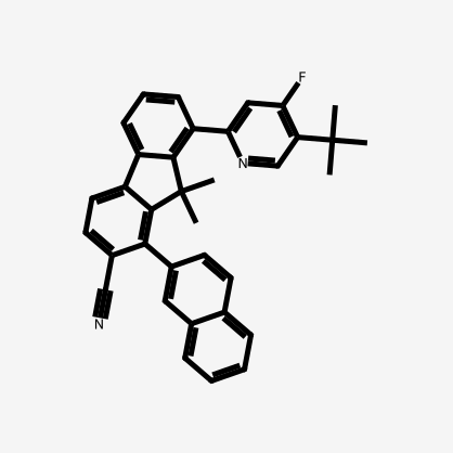 CC(C)(C)c1cnc(-c2cccc3c2C(C)(C)c2c-3ccc(C#N)c2-c2ccc3ccccc3c2)cc1F